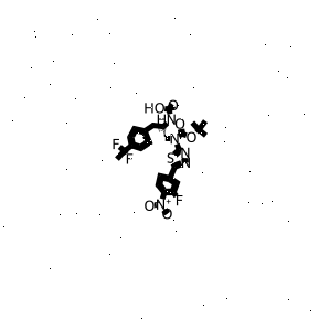 CC(C)(C)OC(=O)N(C[C@H](Cc1ccc(C(C)(F)F)cc1)NC(=O)O)c1nnc(-c2ccc([N+](=O)[O-])c(F)c2)s1